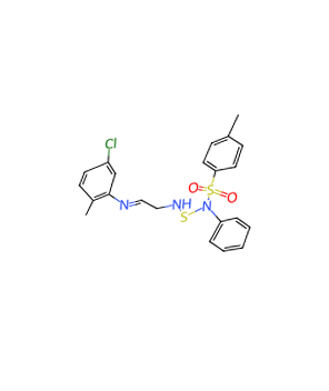 Cc1ccc(S(=O)(=O)N(SNCC=Nc2cc(Cl)ccc2C)c2ccccc2)cc1